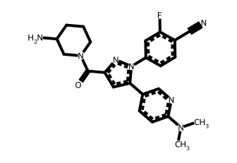 CN(C)c1ccc(-c2cc(C(=O)N3CCCC(N)C3)nn2-c2ccc(C#N)c(F)c2)cn1